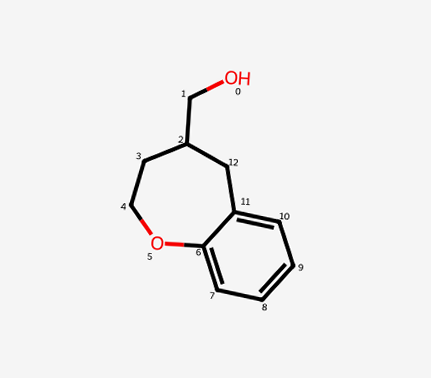 OCC1CCOc2ccccc2C1